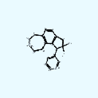 FC1(F)Cc2ccc3c(c2C1c1cccnc1)CCNCC3